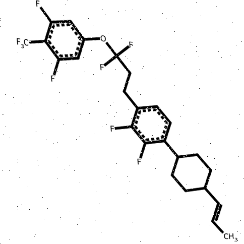 C/C=C/C1CCC(c2ccc(CCC(F)(F)Oc3cc(F)c(C(F)(F)F)c(F)c3)c(F)c2F)CC1